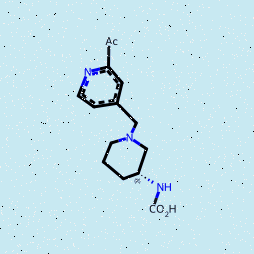 CC(=O)c1cc(CN2CCC[C@@H](NC(=O)O)C2)ccn1